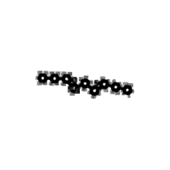 c1ccc(-c2ccc(-c3ccc4sc5c(-c6cccc(-c7ncnc8c7oc7ccc(-c9ccc(-c%10ccccc%10)cc9)cc78)c6)cccc5c4c3)cc2)cc1